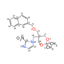 CC1(C)OCC(COCc2ccc3ccccc3c2)(Cn2ccnc2[N+](=O)[O-])CO1